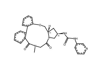 CN1CC(=O)N2C[C@H](NC(=O)Nc3cccnc3)C[C@H]2COc2ccccc2-c2ccccc2C1=O